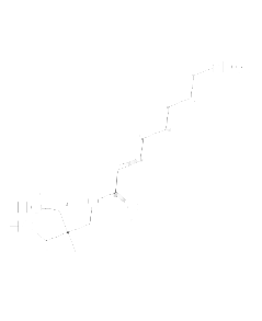 CCCCCCCCCCCCCCC/C=C/C(=O)OCC(C)(CO)CO